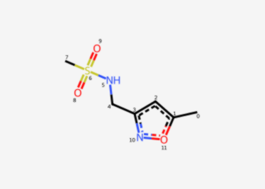 Cc1cc(CNS(C)(=O)=O)no1